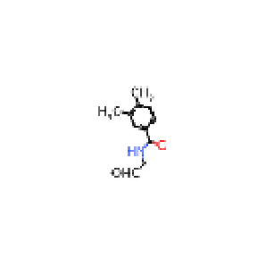 Cc1ccc(C(=O)NC[C]=O)cc1C